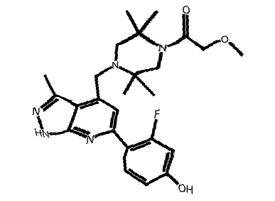 COCC(=O)N1CC(C)(C)N(Cc2cc(-c3ccc(O)cc3F)nc3[nH]nc(C)c23)CC1(C)C